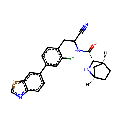 N#CC(Cc1ccc(-c2ccc3ncsc3c2)cc1F)NC(=O)[C@H]1N[C@@H]2CC[C@H]1C2